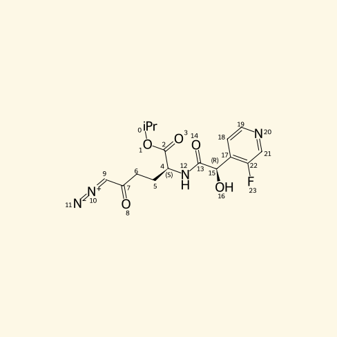 CC(C)OC(=O)[C@H](CCC(=O)C=[N+]=[N-])NC(=O)[C@H](O)c1ccncc1F